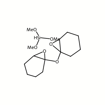 C1CCC2(OC34CCCCC3O4)OC2C1.CO[SiH](OC)OC